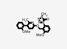 COc1ccccc1-c1ccc(OCc2c(OC)cccc2-n2nnn(C)c2=O)nc1C